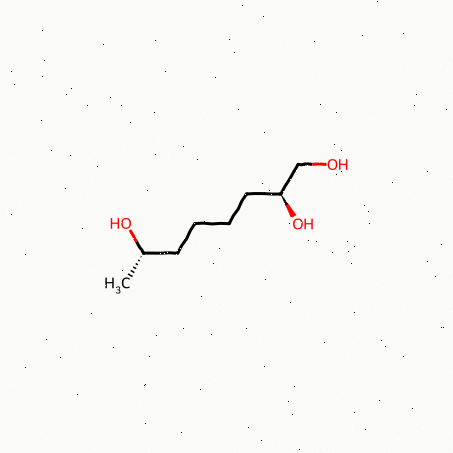 C[C@H](O)CCCC[C@H](O)CO